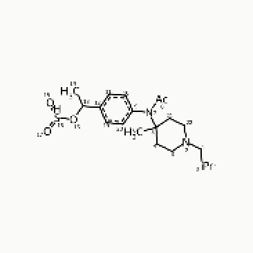 C[C](C)CN1CCC(C)(N(C(C)=O)c2ccc(C(C)O[SH](=O)=O)cc2)CC1